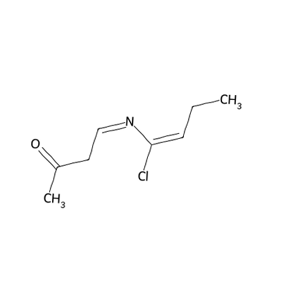 CC/C=C(Cl)\N=C/CC(C)=O